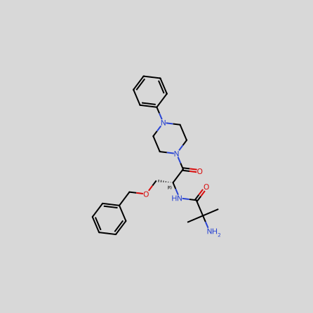 CC(C)(N)C(=O)N[C@H](COCc1ccccc1)C(=O)N1CCN(c2ccccc2)CC1